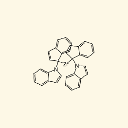 C1=C[C]([Zr][C]2(n3ccc4ccccc43)C=Cc3ccccc32)(n2ccc3ccccc32)c2ccccc21